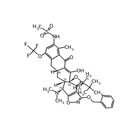 Cc1c(NS(C)(=O)=O)cc(OC(F)(F)F)c2c1C(=O)C1=C(O)[C@]3(O[Si](C)(C)C(C)(C)C)C(=O)c4c(OCc5ccccc5)noc4[C@@H](N(C)C)[C@@H]3C[C@@H]1C2